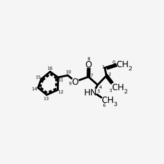 C=CC(=C)C(NC)C(=O)OCc1ccccc1